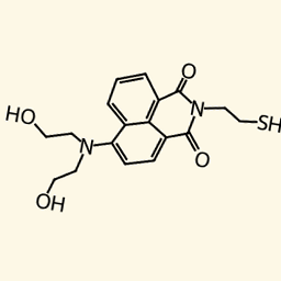 O=C1c2cccc3c(N(CCO)CCO)ccc(c23)C(=O)N1CCS